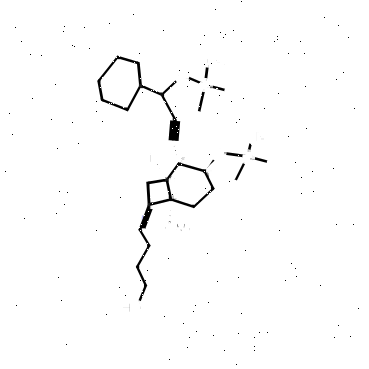 CO[C@@]12CC[C@H](O[Si](C)(C)C(C)(C)C)[C@@H](C#CC(O[Si](C)(C)C(C)(C)C)C3CCCCC3)[C@@H]1C/C2=C/CCCO